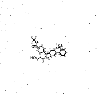 CC(CCO)n1nc2cc(-c3ccccc3C(F)(F)F)ccc2c1C1=CCN(C(=O)OC(C)(C)C)CC1